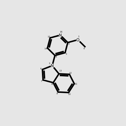 COc1cc(-n2ccc3c[c]ccc32)ccn1